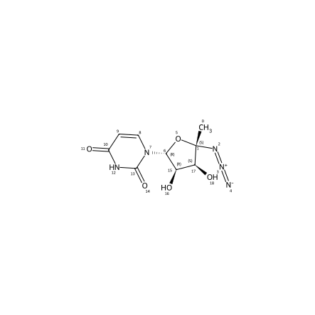 C[C@]1(N=[N+]=[N-])O[C@@H](n2ccc(=O)[nH]c2=O)[C@H](O)[C@@H]1O